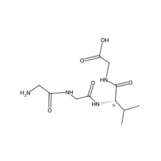 CC(C)[C@H](NC(=O)CNC(=O)CN)C(=O)NCC(=O)O